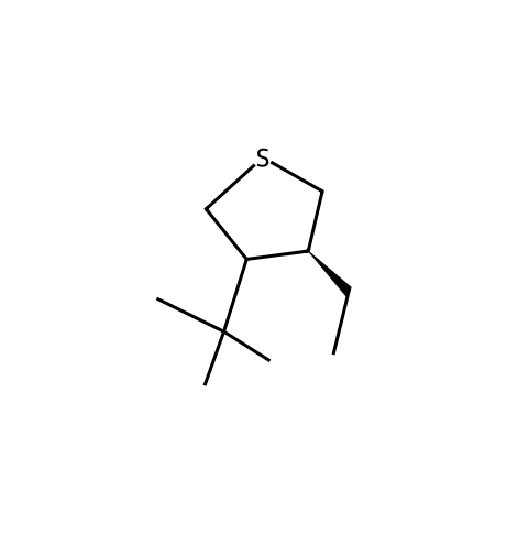 CC[C@@H]1CSCC1C(C)(C)C